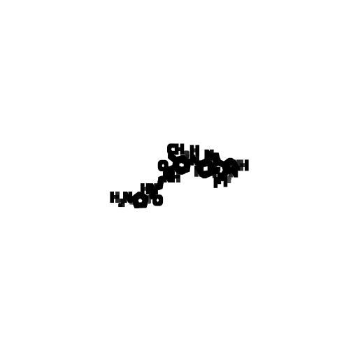 CCc1cc(Nc2nccn3c(-c4c[nH]nc4C(F)(F)F)cnc23)ccc1C(=O)NCCNC(=O)[C@@H]1CC[C@@H](N)C1